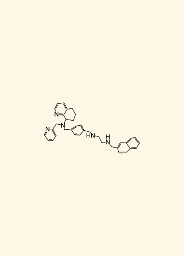 c1ccc(CN(Cc2ccc(CNCCNCc3ccc4ccccc4c3)cc2)C2CCCc3cccnc32)nc1